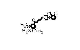 COc1cc(C(=O)CCCCN2CCN(c3cccc(Cl)c3Cl)CC2)cc(N)c1OC